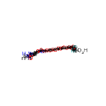 CCCN(OCC)C(=O)C1=Cc2ccc(-c3ccc(OCCNC(=O)CCOCCOCCOCCOCCOCCOCCOCCOCCOCCOCCC(=O)Oc4c(F)c(F)c(S(=O)(=O)O)c(F)c4F)cc3)cc2N=C(N)C1